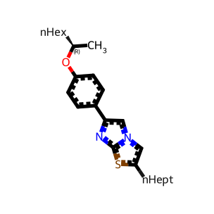 CCCCCCCc1cn2cc(-c3ccc(O[C@H](C)CCCCCC)cc3)nc2s1